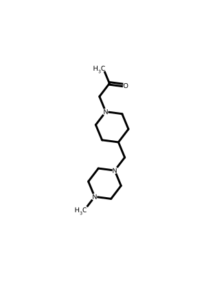 CC(=O)CN1CCC(CN2CCN(C)CC2)CC1